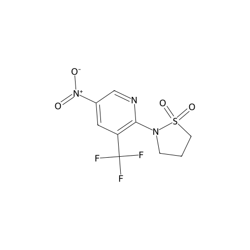 O=[N+]([O-])c1cnc(N2CCCS2(=O)=O)c(C(F)(F)F)c1